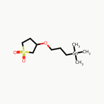 [CH3][Sn]([CH3])([CH3])[CH2]CCOC1CCS(=O)(=O)C1